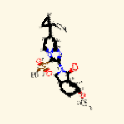 CCS(=O)(=O)c1c(N2Cc3ccc(OC(F)(F)F)cc3C2=O)nc2cc(C3(C#N)CC3)ccn12